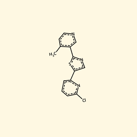 Cc1ccncc1-c1ncc(-c2cccc(Cl)n2)s1